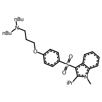 CCCCN(CCCC)CCCOc1ccc(S(=O)(=O)c2c(C(C)C)n(C)c3ccccc23)cc1